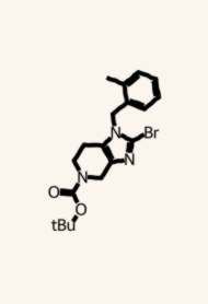 Cc1ccccc1Cn1c(Br)nc2c1CCN(C(=O)OC(C)(C)C)C2